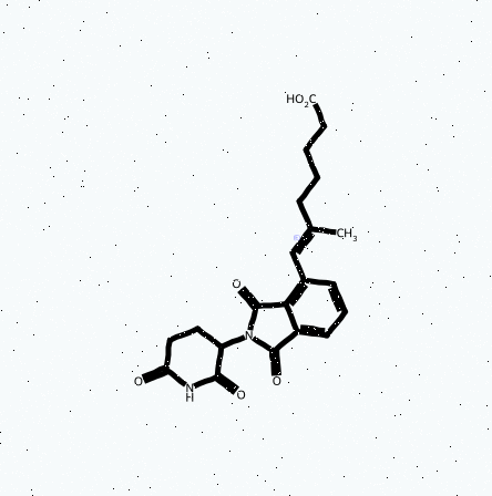 C/C(=C\c1cccc2c1C(=O)N(C1CCC(=O)NC1=O)C2=O)CCCCC(=O)O